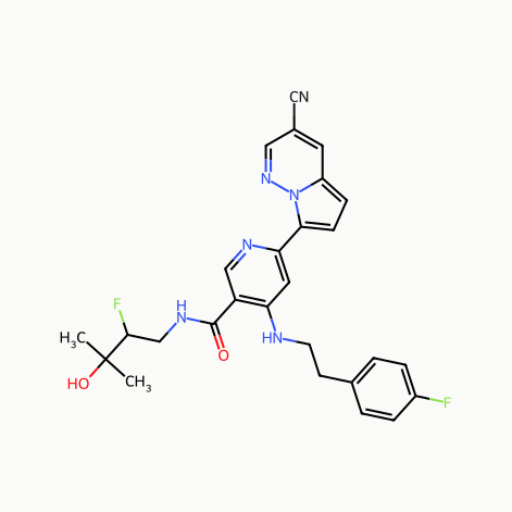 CC(C)(O)C(F)CNC(=O)c1cnc(-c2ccc3cc(C#N)cnn23)cc1NCCc1ccc(F)cc1